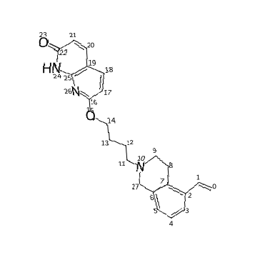 C=Cc1cccc2c1CCN(CCCCOc1ccc3ccc(=O)[nH]c3n1)C2